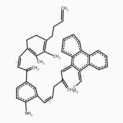 C=CCCC1=C(C)C(C)=C(/C=C\C(=C)c2ccc(N)c(/C=C\CC(=C)/C=c3\c(=C/C)c4ccccc4c4ccccc34)c2)CC1